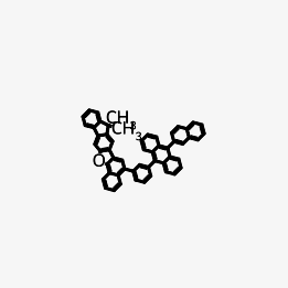 CC1(C)c2ccccc2-c2cc3oc4c5ccccc5c(-c5cccc(-c6c7ccccc7c(-c7ccc8ccccc8c7)c7ccccc67)c5)cc4c3cc21